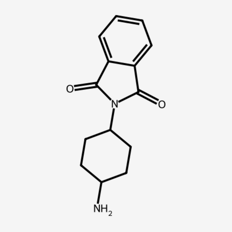 NC1CCC(N2C(=O)c3ccccc3C2=O)CC1